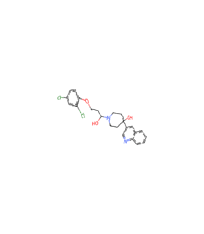 OC(CCOc1ccc(Cl)cc1Cl)N1CCC(O)(c2cnc3ccccc3c2)CC1